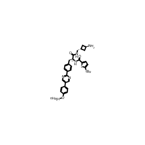 CCCCCCCOc1ccc(-c2cnc(-c3ccc(C[C@H](NC(=O)c4ccc(C(C)(C)C)s4)C(=O)NC[C@H]4C[C@H](N)C4)cc3)nc2)cc1